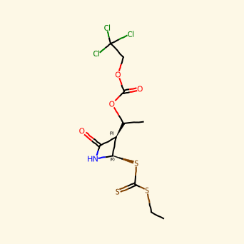 CCSC(=S)S[C@H]1NC(=O)[C@H]1C(C)OC(=O)OCC(Cl)(Cl)Cl